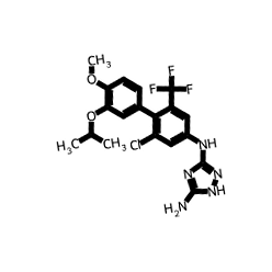 COc1ccc(-c2c(Cl)cc(Nc3n[nH]c(N)n3)cc2C(F)(F)F)cc1OC(C)C